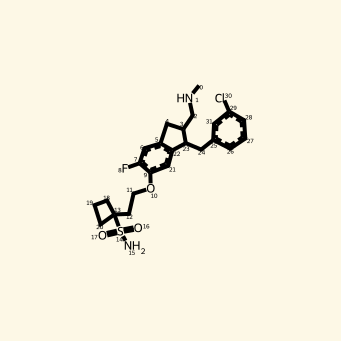 CNCC1Cc2cc(F)c(OCCC3(S(N)(=O)=O)CCC3)cc2C1Cc1cccc(Cl)c1